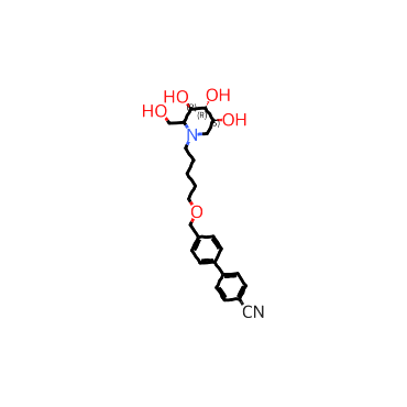 N#Cc1ccc(-c2ccc(COCCCCCN3C[C@H](O)[C@@H](O)[C@H](O)C3CO)cc2)cc1